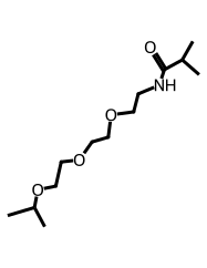 CC(C)OCCOCCOCCNC(=O)C(C)C